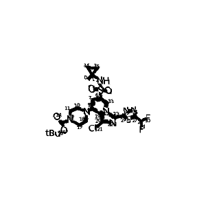 CC1(NS(=O)(=O)c2cc(N3CCN(C(=O)OC(C)(C)C)CC3)c3c(Cl)nc(-c4nnc(C(F)F)s4)n3c2)CC1